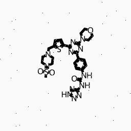 CS(=O)(=O)N1CCN(Cc2ccc(-c3nc(-c4ccc(NC(=O)Nc5nn[nH]n5)cc4)nc(N4CCOCC4)n3)s2)CC1